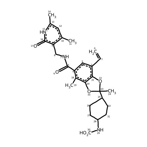 C=Cc1cc(C(=O)NCc2c(C)cc(C)[nH]c2=O)c(C)c2c1OC(C)(C1CCC(NC(=O)O)CC1)O2